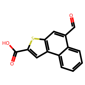 O=Cc1cc2sc(C(=O)O)cc2c2ccccc12